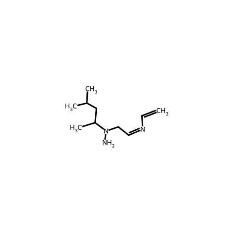 C=C/N=C\CN(N)C(C)CC(C)C